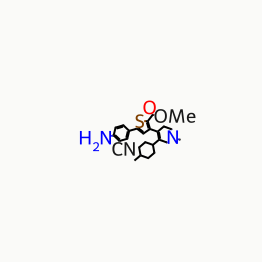 COC(=O)c1sc(-c2ccc(N)c(C#N)c2)cc1C1=C(C2CCC(C)CC2)CN(C)CC1